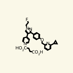 FCCn1cc(-c2ccncc2)c(-c2ccc(OCc3cccc(C4CC4)n3)cc2)n1.O=C(O)CCC(=O)O